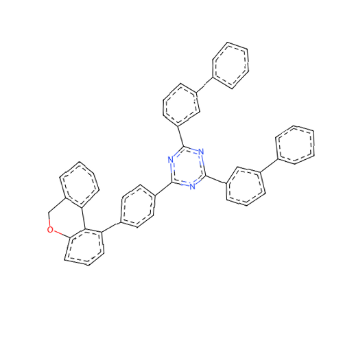 c1ccc(-c2cccc(-c3nc(-c4ccc(-c5cccc6c5-c5ccccc5CO6)cc4)nc(-c4cccc(-c5ccccc5)c4)n3)c2)cc1